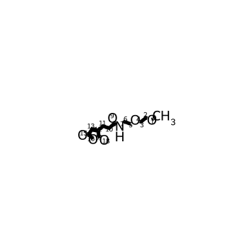 COCCOCCNC(=O)CCC1=CC(=O)OC1=O